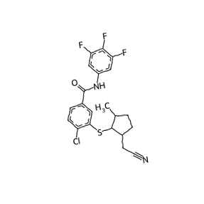 CC1CCC(CC#N)C1Sc1cc(C(=O)Nc2cc(F)c(F)c(F)c2)ccc1Cl